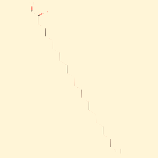 CCCCCCCCCCCCCCCCCCCCCCC(=O)C=O